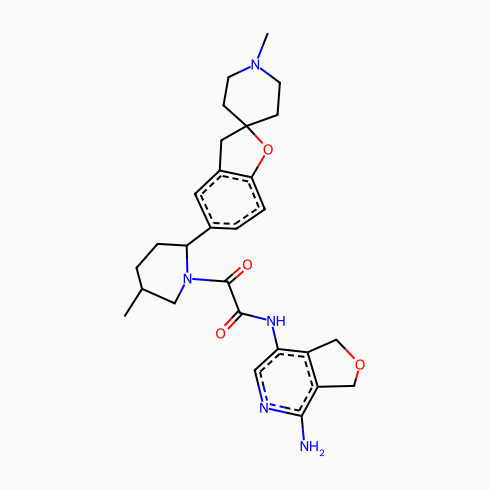 CC1CCC(c2ccc3c(c2)CC2(CCN(C)CC2)O3)N(C(=O)C(=O)Nc2cnc(N)c3c2COC3)C1